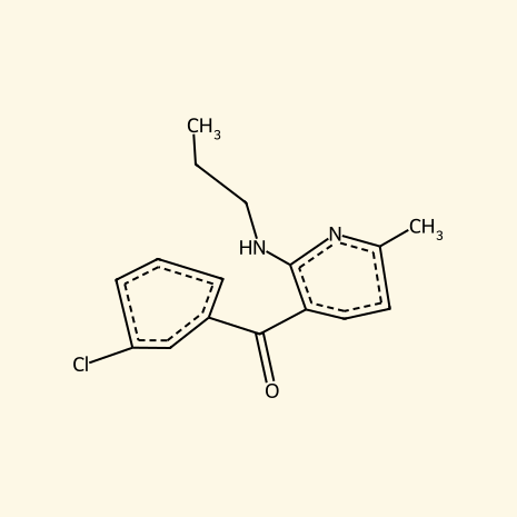 CCCNc1nc(C)ccc1C(=O)c1cccc(Cl)c1